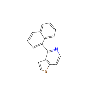 c1ccc2c(-c3nccc4sccc34)cccc2c1